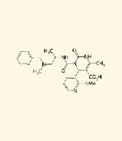 CSc1ncccc1C1C(C(=O)O)=C(C)NC(=O)N1C(=O)NC(C)CN(C)Cc1ccccc1